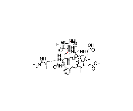 CSCC[C@H](NC(=O)[C@H](CCC(=O)O)NC(=O)[C@H](CCC(=O)O)NC(=O)/C=C/c1ccccc1)C(=O)N[C@@H](CCC(N)=O)C(=O)N[C@@H](CCCNC(=N)N)C(=O)N[C@@H](CCCNC(=N)N)C(N)=O